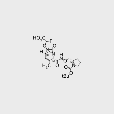 CC1=C[C@@H]2CN(C(=O)N2OC(F)C(=O)O)[C@@H]1C(=O)NOC[C@@H]1CCCN1C(=O)OC(C)(C)C